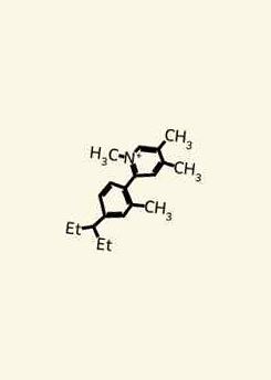 CCC(CC)c1ccc(-c2cc(C)c(C)c[n+]2C)c(C)c1